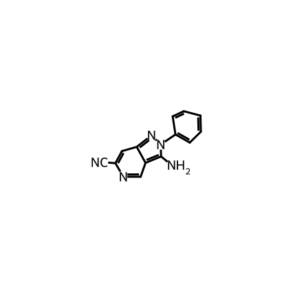 N#Cc1cc2nn(-c3ccccc3)c(N)c2cn1